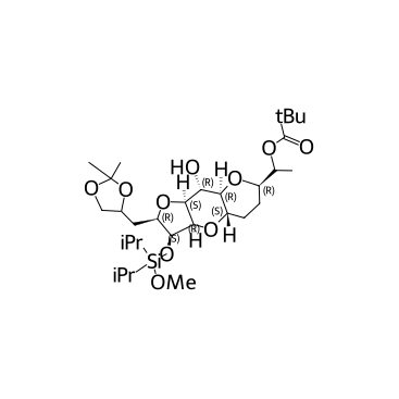 CO[Si](O[C@@H]1[C@@H]2O[C@H]3CC[C@H](C(C)OC(=O)C(C)(C)C)O[C@@H]3[C@@H](O)[C@@H]2O[C@@H]1CC1COC(C)(C)O1)(C(C)C)C(C)C